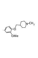 COc1c[c]ccc1OCC1CCN(C)CC1